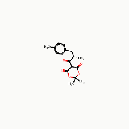 Cc1ccc(C[C@H](C)C(=O)C2C(=O)OC(C)(C)OC2=O)cc1